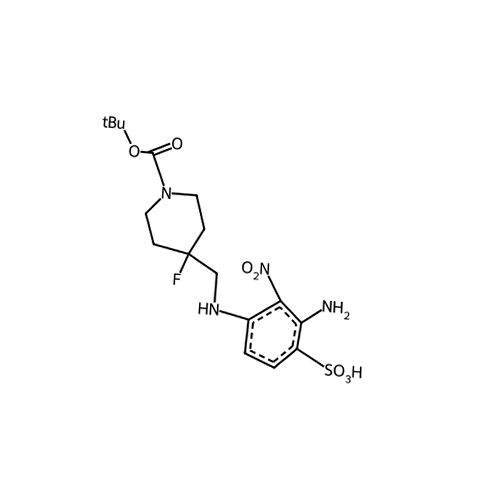 CC(C)(C)OC(=O)N1CCC(F)(CNc2ccc(S(=O)(=O)O)c(N)c2[N+](=O)[O-])CC1